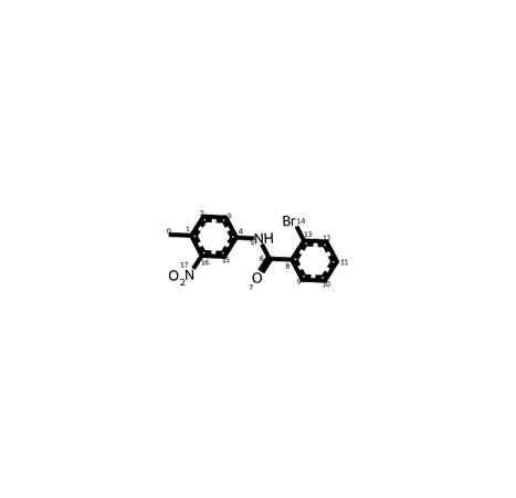 Cc1ccc(NC(=O)c2ccccc2Br)cc1[N+](=O)[O-]